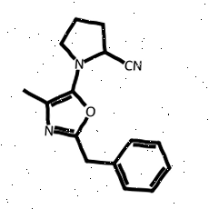 Cc1nc(Cc2ccccc2)oc1N1CCCC1C#N